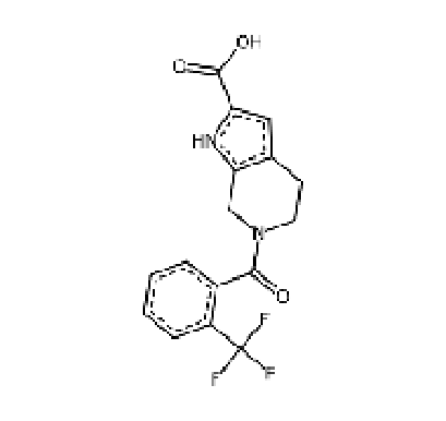 O=C(O)c1cc2c([nH]1)CN(C(=O)c1ccccc1C(F)(F)F)CC2